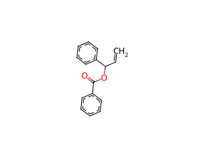 C=CC(OC(=O)c1ccccc1)c1ccccc1